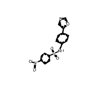 O=[N+]([O-])c1ccc(S(=O)(=O)Nc2ccc(-c3cnco3)cc2)cc1